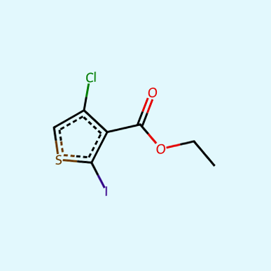 CCOC(=O)c1c(Cl)csc1I